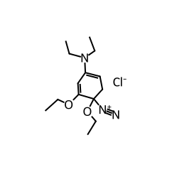 CCOC1=CC(N(CC)CC)=CCC1([N+]#N)OCC.[Cl-]